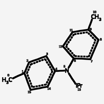 Cc1ccc(N(c2ccc(C)cc2)C(C)C)cc1